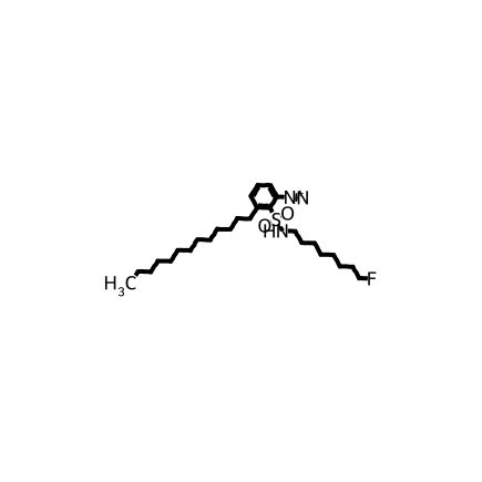 CCCCCCCCCCCCCc1cccc([N+]#N)c1S(=O)(=O)NCCCCCCCCF